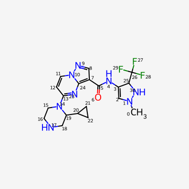 CN1C=C(NC(=O)c2cnn3ccc(N4CCNCC4C4CC4)nc23)C(C(F)(F)F)N1